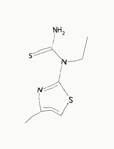 CCN(C(N)=S)c1nc(C)cs1